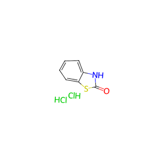 Cl.Cl.O=c1[nH]c2ccccc2s1